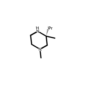 CC(C)[C@]1(C)CN(C)CCN1